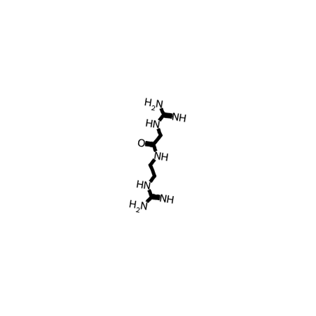 N=C(N)NCCNC(=O)CNC(=N)N